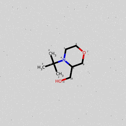 CC(C)(C)N1CCOCC1CO